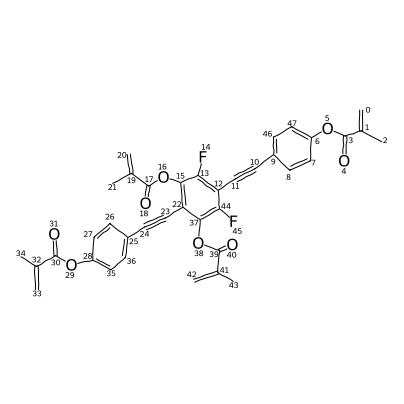 C=C(C)C(=O)Oc1ccc(C#Cc2c(F)c(OC(=O)C(=C)C)c(C#Cc3ccc(OC(=O)C(=C)C)cc3)c(OC(=O)C(=C)C)c2F)cc1